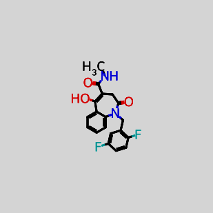 CNC(=O)C1=C(O)c2ccccc2N(Cc2cc(F)ccc2F)C(=O)C1